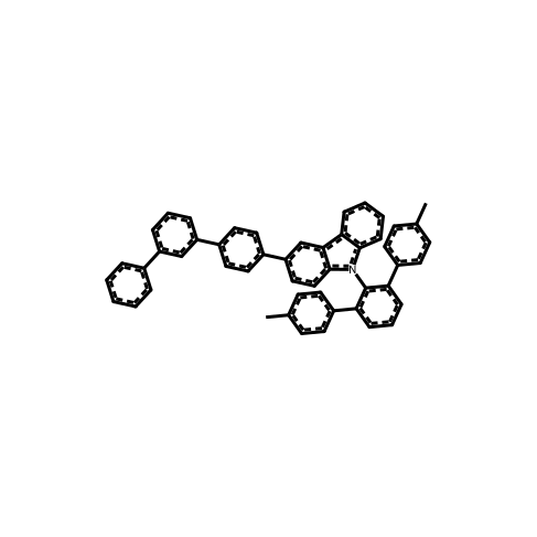 Cc1ccc(-c2cccc(-c3ccc(C)cc3)c2-n2c3ccccc3c3cc(-c4ccc(-c5cccc(-c6ccccc6)c5)cc4)ccc32)cc1